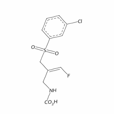 O=C(O)NCC(=CF)CS(=O)(=O)c1cccc(Cl)c1